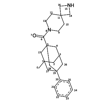 CC12CC3CC(C(=O)N4CCC5(CC4)CNC5)(C1)CC(c1ccccc1)(C3)C2